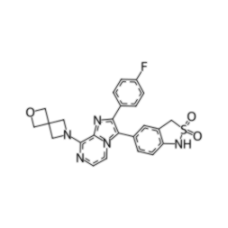 O=S1(=O)Cc2cc(-c3c(-c4ccc(F)cc4)nc4c(N5CC6(COC6)C5)nccn34)ccc2N1